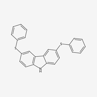 c1ccc(Sc2ccc3[nH]c4ccc(Sc5ccccc5)cc4c3c2)cc1